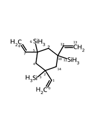 C=CC1([SiH3])CC([SiH3])(C=C)CC([SiH3])(C=C)C1